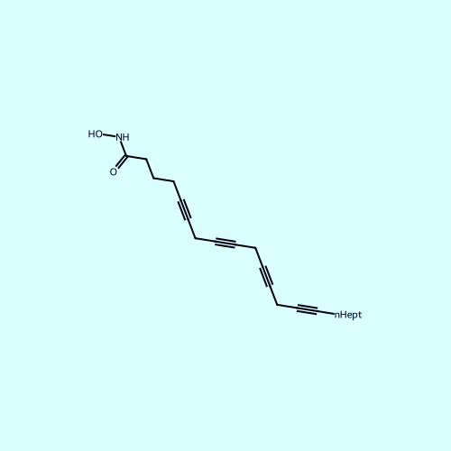 CCCCCCCC#CCC#CCC#CCC#CCCCC(=O)NO